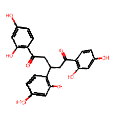 O=C(CC(CC(=O)c1ccc(O)cc1O)c1ccc(O)cc1O)c1ccc(O)cc1O